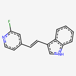 Fc1cc(C=Cc2c[nH]c3ccccc23)ccn1